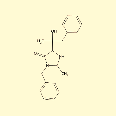 [CH2]C(O)(Cc1ccccc1)C1NC(C)N(Cc2ccccc2)C1=O